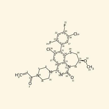 C=CC(=O)N1CCN(c2nc(=O)n3c4c(c(-c5cc(Cl)c(F)cc5F)c(Cl)cc24)SC[C@@H](OC)C3)CC1